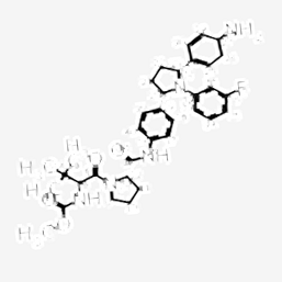 COC(=O)N[C@H](C(=O)N1CCC[C@H]1C(=O)Nc1ccc([C@@H]2CC[C@@H](C3=CCC(N)C=C3)N2c2cccc(F)c2)cc1)C(C)(C)C